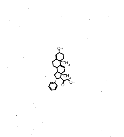 C[C@]12CCC(O)C=C1CCC1C2=CC[C@@]2(C)C1C[C@@H](c1ccccc1)[C@@H]2C(=O)CO